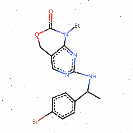 CCN1C(=O)OCc2cnc(NC(C)c3ccc(Br)cc3)nc21